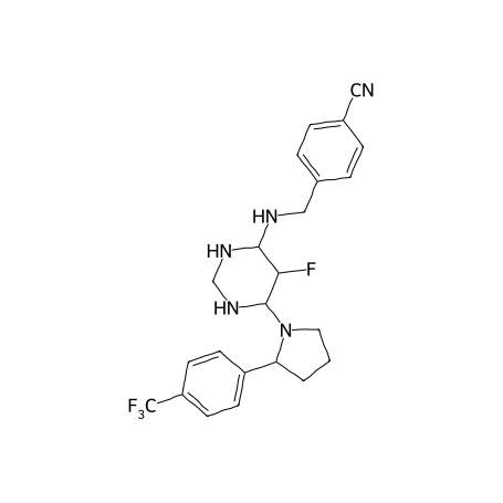 N#Cc1ccc(CNC2NCNC(N3CCCC3c3ccc(C(F)(F)F)cc3)C2F)cc1